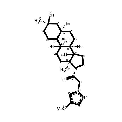 COc1cnn(CC(=O)[C@H]2CC[C@H]3[C@@H]4CC[C@@H]5C[C@](C)(O)CC[C@]5(C)[C@H]4CC[C@]23C)c1